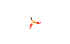 [Li][P](=O)=O